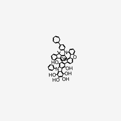 CC1(C)c2ccccc2-c2cccc(N(c3ccc(C4=CC=CC=CC4)cc3)c3cccc4oc5ccc(-c6c(O)c(O)c7c(c6O)c6c(O)c(O)c(O)c(O)c6n7-c6ccccc6)cc5c34)c21